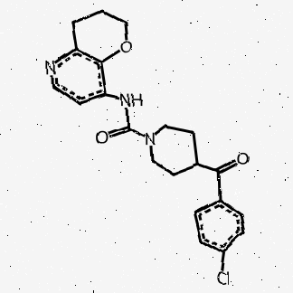 O=C(c1ccc(Cl)cc1)C1CCN(C(=O)Nc2ccnc3c2OCCC3)CC1